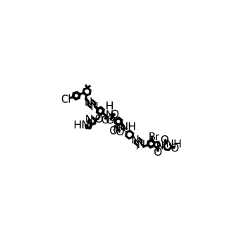 C[C@H]1CN([C@H]2CC[C@H](CNc3ccc(S(=O)(=O)NC(=O)c4ccc(N5CCN(CC6=C(c7ccc(Cl)cc7)CC(C)(C)CC6)CC5)cc4Oc4cnc5[nH]ccc5c4)cc3[N+](=O)[O-])CC2)CCN1Cc1cc(Br)c2c(c1)C(=O)N(C1CCC(=O)NC1=O)C2